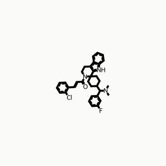 CN(C)C(c1cccc(F)c1)C1CCC2(CC1)c1[nH]c3ccccc3c1CCN2C(=O)C=Cc1ccccc1Cl